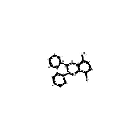 Cc1ccc(Br)c2nc(-c3ccccc3)c(-c3ccccc3)nc12